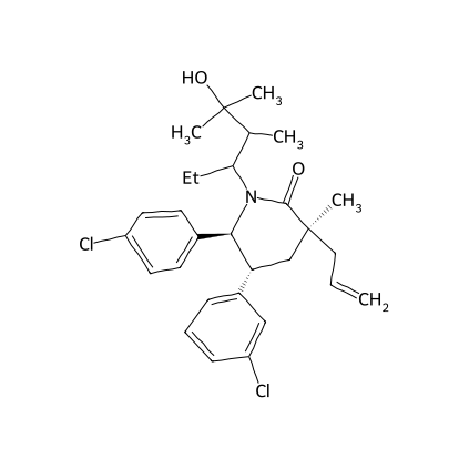 C=CC[C@@]1(C)C[C@H](c2cccc(Cl)c2)[C@@H](c2ccc(Cl)cc2)N(C(CC)C(C)C(C)(C)O)C1=O